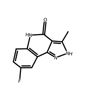 Cc1[nH]nc2c1c(=O)[nH]c1ccc(F)cc12